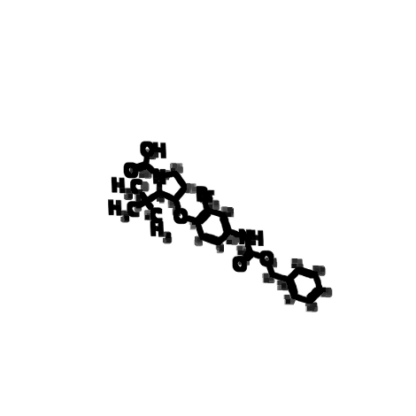 CC(C)(C)C1C(Oc2ccc(NC(=O)OCc3ccccc3)cc2Br)CCN1C(=O)O